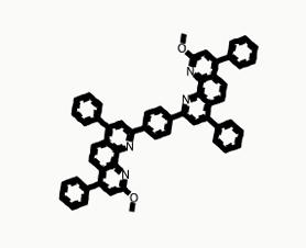 COc1cc(-c2ccccc2)c2ccc3c(-c4ccccc4)cc(-c4ccc(-c5cc(-c6ccccc6)c6ccc7c(-c8ccccc8)cc(OC)nc7c6n5)cc4)nc3c2n1